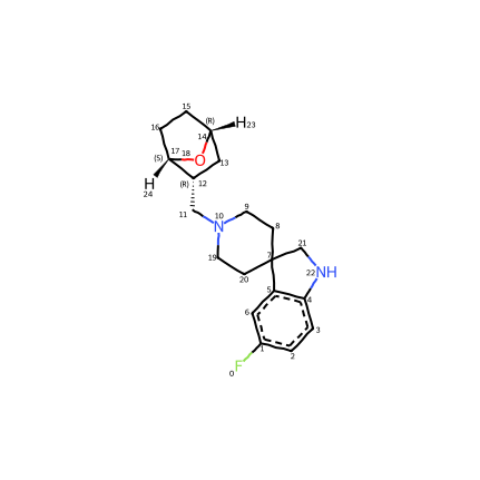 Fc1ccc2c(c1)C1(CCN(C[C@H]3C[C@H]4CC[C@@H]3O4)CC1)CN2